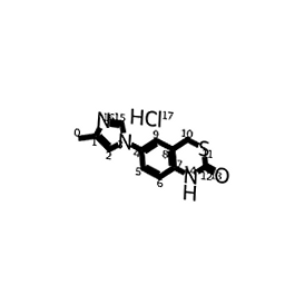 Cc1cn(-c2ccc3c(c2)CSC(=O)N3)cn1.Cl